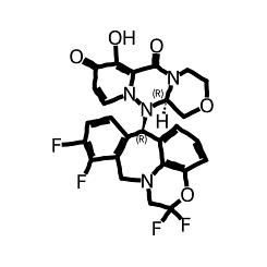 O=C1c2c(O)c(=O)ccn2N([C@@H]2c3ccc(F)c(F)c3CN3CC(F)(F)Oc4cccc2c43)[C@@H]2COCCN12